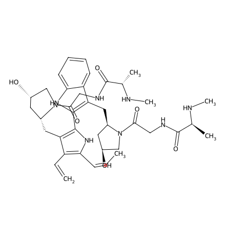 C=Cc1c(/C=C\C)[nH]c(-c2[nH]c3ccccc3c2C[C@@H]2C[C@H](O)CN2C(=O)CNC(=O)[C@H](C)NC)c1C[C@@H]1C[C@H](O)CN1C(=O)CNC(=O)[C@H](C)NC